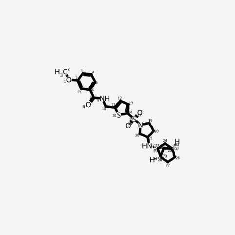 COc1cccc(C(=O)NCc2ccc(S(=O)(=O)N3CCC(N[C@@H]4C[C@H]5CC[C@@H]4C5)C3)s2)c1